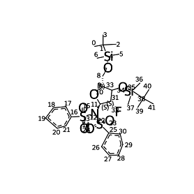 CC(C)(C)[Si](C)(C)OC[C@H]1O[C@H](N(S(=O)(=O)c2ccccc2)S(=O)(=O)c2ccccc2)[C@@H](F)C1O[Si](C)(C)C(C)(C)C